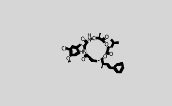 COc1ccc(C[C@H]2NC(=O)/C=C/C[C@@H]([C@H](C)/C=C/c3ccccc3)OC(=O)[C@H](CC(C)C)OC(=O)[C@H](C)CNC2=O)cc1Cl